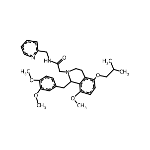 COc1ccc(CC2c3c(OC)ccc(OCC(C)C)c3CCN2CC(=O)NCc2ccccn2)cc1OC